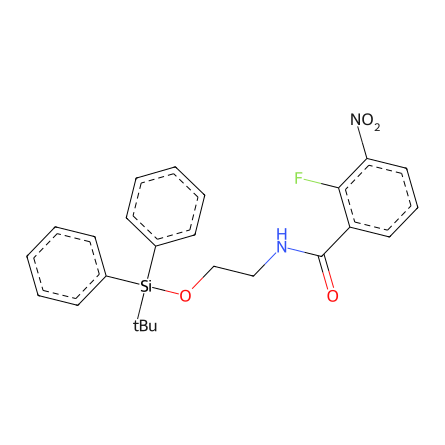 CC(C)(C)[Si](OCCNC(=O)c1cccc([N+](=O)[O-])c1F)(c1ccccc1)c1ccccc1